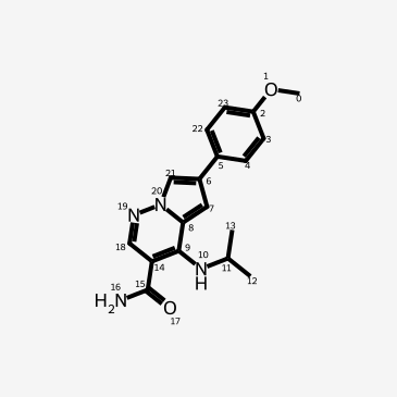 COc1ccc(-c2cc3c(NC(C)C)c(C(N)=O)cnn3c2)cc1